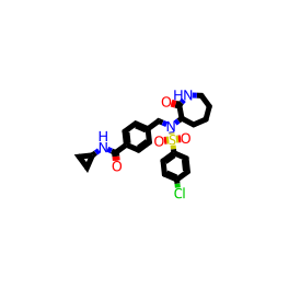 O=C(NC1CC1)c1ccc(CN(C2CCCCNC2=O)S(=O)(=O)c2ccc(Cl)cc2)cc1